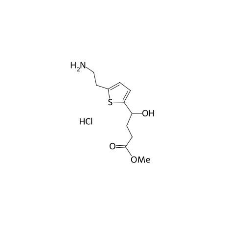 COC(=O)CCC(O)c1ccc(CCN)s1.Cl